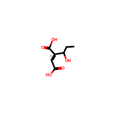 CCC(O)/C(=C\C(=O)O)C(=O)O